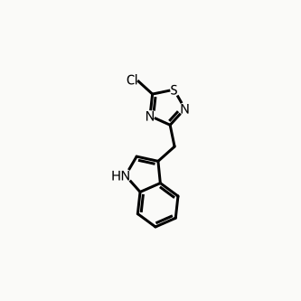 Clc1nc(Cc2c[nH]c3ccccc23)ns1